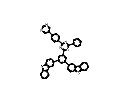 c1ccc(-c2nc(-c3ccc(-c4cncnc4)cc3)nc(-c3cc(-c4ccc5sc6ccccc6c5c4)cc(-c4ccc5sc6ccccc6c5c4)c3)n2)cc1